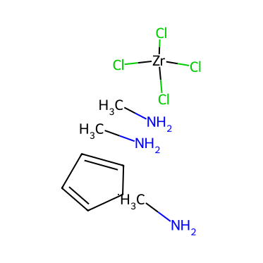 CN.CN.CN.[CH]1C=CC=C1.[Cl][Zr]([Cl])([Cl])[Cl]